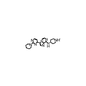 c1cc(-c2cnc3c(NC4CCNCC4)nccn23)nc(N2CCCCC2)n1